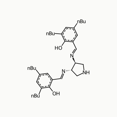 CCCCc1cc(/C=N/[C@H]2CNC[C@@H]2/N=C/c2cc(CCCC)cc(CCCC)c2O)c(O)c(CCCC)c1